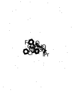 CC(C)[C@@H]1CN1S(=O)(=O)NCC(=O)N(c1cccc(F)c1)[C@H](C(=O)NC1CCCCC1)c1ccccc1Cl